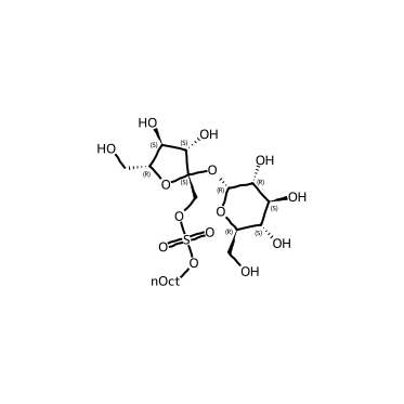 CCCCCCCCOS(=O)(=O)OC[C@@]1(O[C@H]2O[C@H](CO)[C@@H](O)[C@H](O)[C@H]2O)O[C@H](CO)[C@@H](O)[C@@H]1O